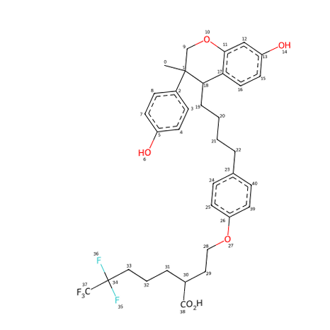 CC1(c2ccc(O)cc2)COc2cc(O)ccc2C1CCCCc1ccc(OCCC(CCCC(F)(F)C(F)(F)F)C(=O)O)cc1